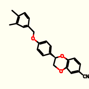 Cc1ccc(COc2ccc([C@@H]3COc4cc(C#N)ccc4O3)cc2)cc1C